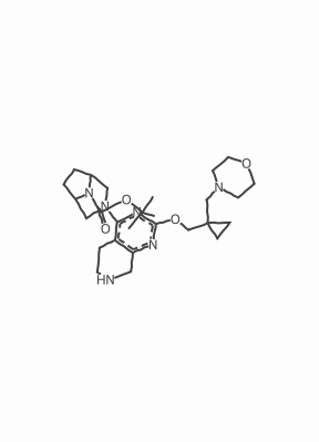 CC(C)(C)OC(=O)N1C2CCC1CN(c1nc(OCC3(CN4CCOCC4)CC3)nc3c1CCNC3)C2